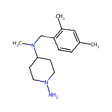 Cc1ccc(CN(C)C2CCN(N)CC2)c(C)c1